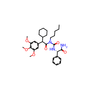 CCCCCN(C(=O)N[C@H](C(N)=O)c1ccccc1)C(=O)C(c1cc(OC)c(OC)c(OC)c1)C1CCCCC1